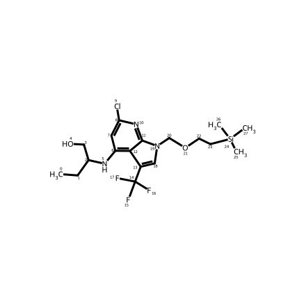 CCC(CO)Nc1cc(Cl)nc2c1c(C(F)(F)F)cn2COCC[Si](C)(C)C